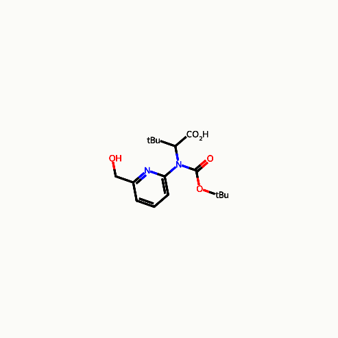 CC(C)(C)OC(=O)N(c1cccc(CO)n1)C(C(=O)O)C(C)(C)C